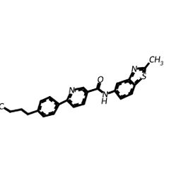 CCCCc1ccc(-c2ccc(C(=O)Nc3ccc4sc(C)nc4c3)cn2)cc1